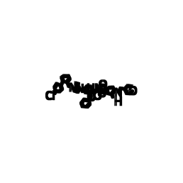 Cc1cc(S(=O)(=O)NC(=O)c2ccc(N3CCN(Cc4ccccc4-c4ccc(Cl)cc4)CC3)cc2Oc2ccccc2)ccc1NCC1=CCOC=C1